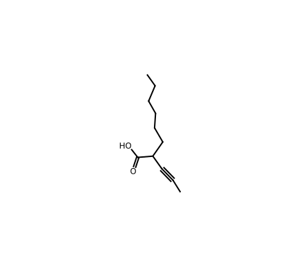 CC#CC(CCCCCC)C(=O)O